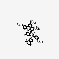 Cc1cc2c3c(c1)N(c1ccc4c(c1)C(C)(C)CCC4(C)C)c1c(oc4ccc(C(C)(C)C)cc14)B3c1cc(C(C)(C)C)ccc1N2c1ccc(C(C)(C)C)cc1-c1cc(C(C)(C)C)cc(C(C)(C)C)c1